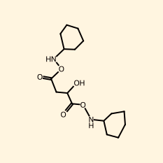 O=C(CC(O)C(=O)ONC1CCCCC1)ONC1CCCCC1